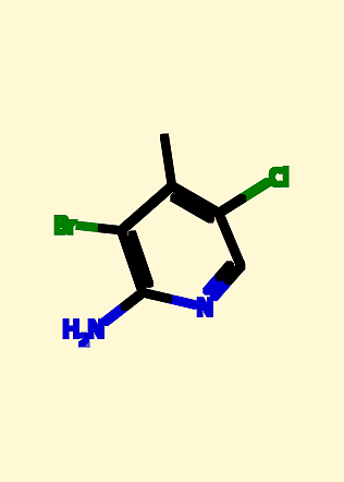 Cc1c(Cl)cnc(N)c1Br